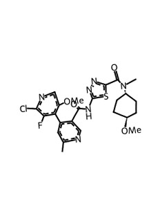 COc1cnc(Cl)c(F)c1-c1cc(C)ncc1C(=O)Nc1nnc(C(=O)N(C)[C@H]2CC[C@H](OC)CC2)s1